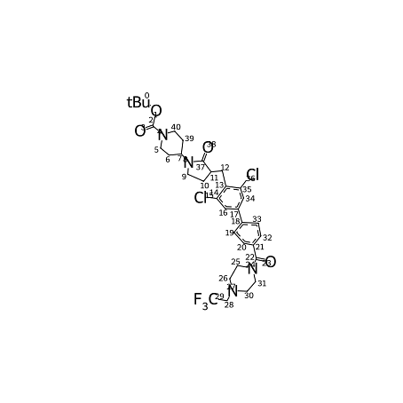 CC(C)(C)OC(=O)N1CCC(N2CCC(Cc3c(Cl)cc(-c4ccc(C(=O)N5CCN(CC(F)(F)F)CC5)cc4)cc3Cl)C2=O)CC1